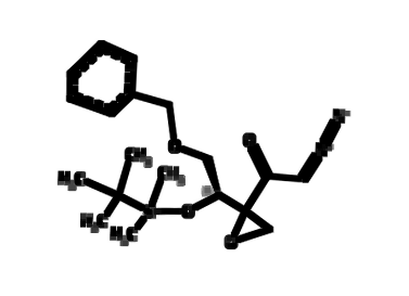 CC(C)(C)[Si](C)(C)O[C@@H](COCc1ccccc1)C1(C(=O)C=[N+]=[N-])CO1